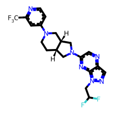 FC(F)Cn1ncc2ncc(N3C[C@H]4CN(c5ccnc(C(F)(F)F)c5)CC[C@H]4C3)nc21